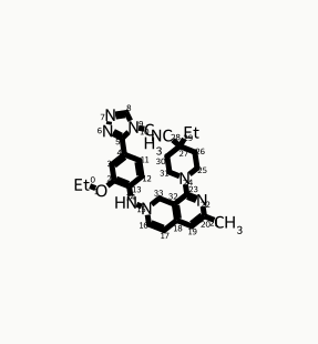 CCOc1cc(-c2nncn2C)ccc1NN1C=Cc2cc(C)nc(N3CCC(C#N)(CC)CC3)c2C1